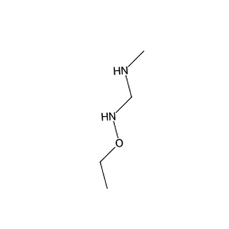 CCONCNC